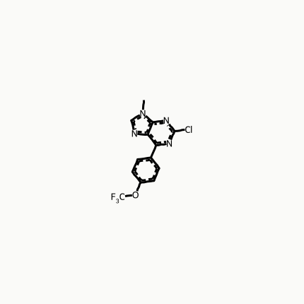 Cn1cnc2c(-c3ccc(OC(F)(F)F)cc3)nc(Cl)nc21